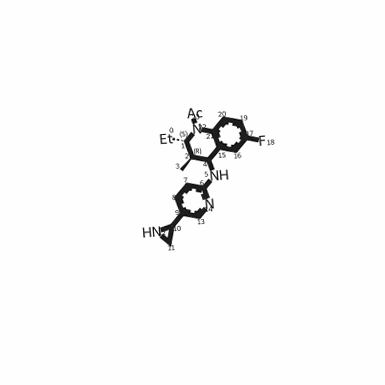 CC[C@H]1[C@H](C)C(Nc2ccc(C3CN3)cn2)c2cc(F)ccc2N1C(C)=O